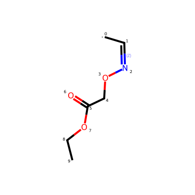 [CH2]/C=N\OCC(=O)OCC